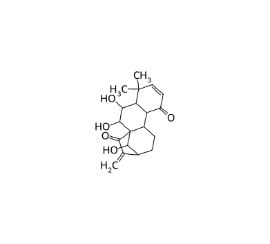 C=C1C(=O)C23C(O)C1CCC2C1C(=O)C=CC(C)(C)C1C(O)C3O